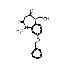 CCN1C(=O)CC(=O)N(C)c2cc(OCc3ccccc3)ccc21